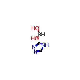 OBO.c1nnc[nH]1